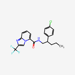 CCCC(CNC(=O)c1cccc2nc(C(F)(F)F)cn12)c1ccc(Cl)cc1